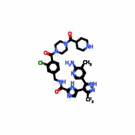 Cc1cc(-c2[nH]nc(C(F)(F)F)c2-c2cnc(C(=O)NCc3ccc(C(=O)N4CCN(C(=O)C5CCNCC5)CC4)c(Cl)c3)[nH]2)cnc1N